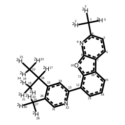 [2H]C([2H])([2H])c1ccc2c(n1)oc1c(-c3cc(C([2H])(C([2H])([2H])[2H])C([2H])([2H])[2H])c(C([2H])([2H])[2H])cn3)cccc12